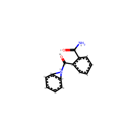 NC(=O)c1ccccc1C(=O)N1c2ccccc21